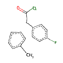 Cc1ccccc1.O=C(Cl)Cc1ccc(F)cc1